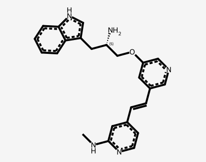 CNc1cc(C=Cc2cncc(OC[C@@H](N)Cc3c[nH]c4ccccc34)c2)ccn1